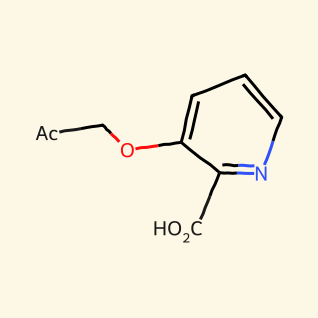 CC(=O)COc1cccnc1C(=O)O